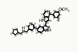 COc1cc(F)cc(-c2nccc3[nH]c(-c4n[nH]c5ccc(-c6cncc(CNCC7CCCC7)c6)cc45)cc23)c1